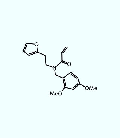 C=CC(=O)N(CCc1ccco1)Cc1ccc(OC)cc1OC